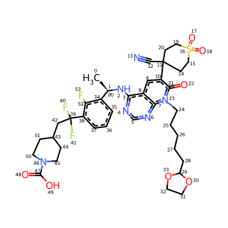 C[C@@H](Nc1ncnc2c1cc(C1(C#N)CCS(=O)(=O)CC1)c(=O)n2CCCCCC1OCCO1)c1cccc(C(F)(F)CC2CCN(C(=O)O)CC2)c1F